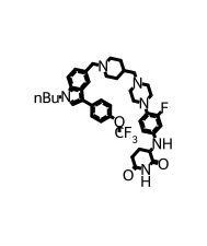 CCCCn1cc(-c2ccc(OC(F)(F)F)cc2)c2cc(CN3CCC(CN4CCN(c5ccc(NC6CCC(=O)NC6=O)cc5F)CC4)CC3)ccc21